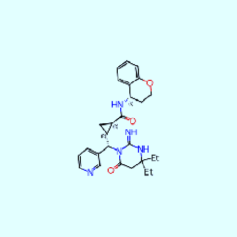 CCC1(CC)CC(=O)N(C(c2cccnc2)[C@@H]2C[C@H]2C(=O)N[C@H]2CCOc3ccccc32)C(=N)N1